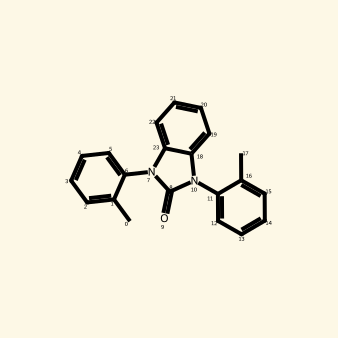 Cc1ccccc1-n1c(=O)n(-c2ccccc2C)c2ccccc21